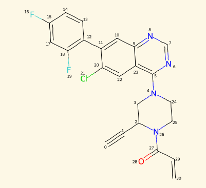 C#CC1CN(c2ncnc3cc(-c4ccc(F)cc4F)c(Cl)cc23)CCN1C(=O)C=C